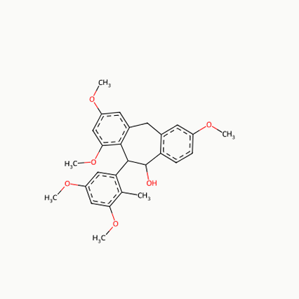 COc1ccc2c(c1)Cc1cc(OC)cc(OC)c1C(c1cc(OC)cc(OC)c1C)C2O